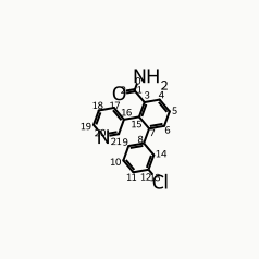 NC(=O)c1cccc(-c2cccc(Cl)c2)c1-c1cccnc1